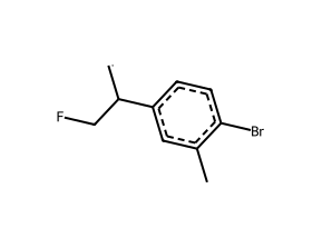 [CH2]C(CF)c1ccc(Br)c(C)c1